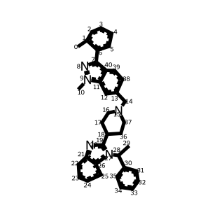 Cc1ccccc1-c1nn(C)c2cc(CN3CCC(c4nc5ccccc5n4C(C)c4ccccc4)CC3)ccc12